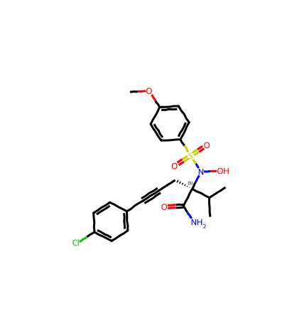 COc1ccc(S(=O)(=O)N(O)[C@](CC#Cc2ccc(Cl)cc2)(C(N)=O)C(C)C)cc1